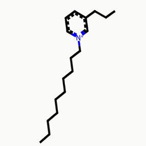 CCCCCCCCCC[n+]1cccc(CCC)c1